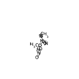 Cc1cc(-c2nc(-c3cnn(C)c3)cn3nccc23)ccc1CN1CCN(CC2COC2)CC1=O